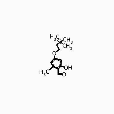 Cc1cc(OCC[Si](C)(C)C)cc(O)c1C=O